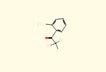 Cc1ccccc1C(=O)C(C)([N+](=O)[O-])[N+](=O)[O-]